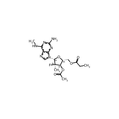 CCC(=O)OC[C@H]1O[C@@H](n2cnc3c(NC)nc(N)nc32)[C@](C)(F)[C@@H]1OC(C)=O